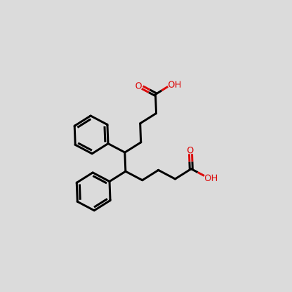 O=C(O)CCCC(c1ccccc1)C(CCCC(=O)O)c1ccccc1